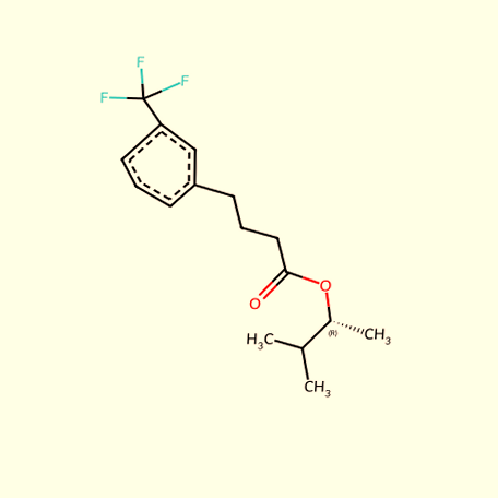 CC(C)[C@@H](C)OC(=O)CCCc1cccc(C(F)(F)F)c1